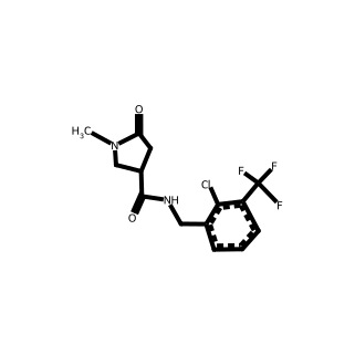 CN1CC(C(=O)NCc2cccc(C(F)(F)F)c2Cl)CC1=O